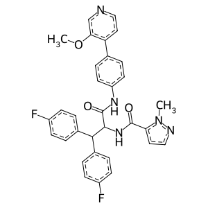 COc1cnccc1-c1ccc(NC(=O)C(NC(=O)c2ccnn2C)C(c2ccc(F)cc2)c2ccc(F)cc2)cc1